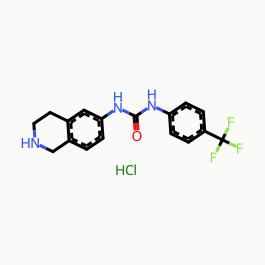 Cl.O=C(Nc1ccc(C(F)(F)F)cc1)Nc1ccc2c(c1)CCNC2